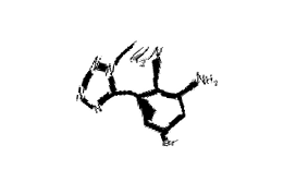 Cn1nnnc1-c1cc(Br)cc(N)c1N